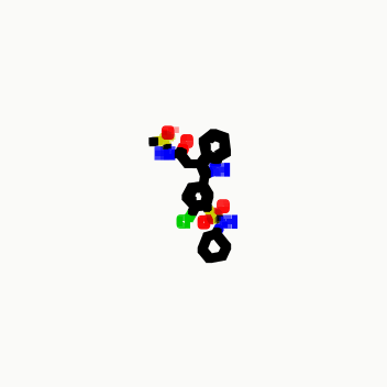 C[S+]([O-])NC(=O)Cc1c(-c2ccc(Cl)c(S(=O)(=O)NC3CCCCC3)c2)[nH]c2ccccc12